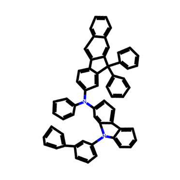 c1ccc(-c2cccc(-n3c4ccccc4c4ccc(N(c5ccccc5)c5ccc6c(c5)C(c5ccccc5)(c5ccccc5)c5cc7ccccc7cc5-6)cc43)c2)cc1